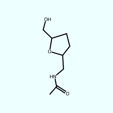 CC(=O)NCC1CCC(CO)O1